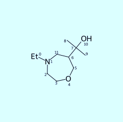 CCN1CCOCC(C(C)(C)O)C1